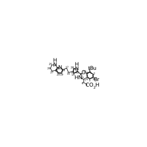 CC(C)(C)c1cc(Br)cc(C(CC(=O)O)NC(=O)c2cc(CCc3ccc4c(n3)NCCC4)c[nH]2)c1